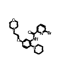 O=C(Nc1cc(OCCN2CCOCC2)ccc1N1CCCCC1)c1cccc(Br)n1